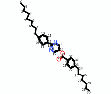 CCCCCCCCCc1ccc(-c2ncc(OC(=O)c3ccc(CCCCCCC)cc3)cn2)cc1